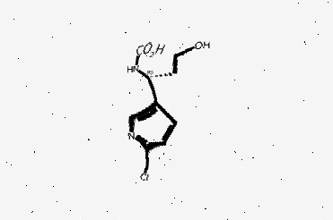 O=C(O)N[C@H](CCO)c1ccc(Cl)nc1